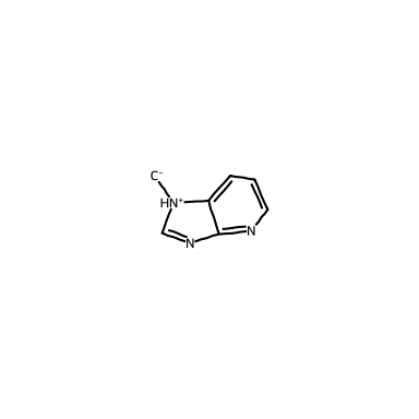 [CH2-][NH+]1C=Nc2ncccc21